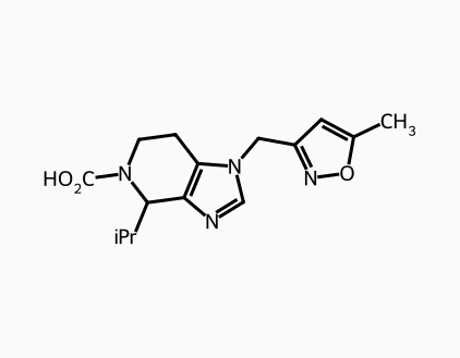 Cc1cc(Cn2cnc3c2CCN(C(=O)O)C3C(C)C)no1